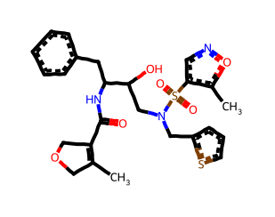 CC1=C(C(=O)NC(Cc2ccccc2)C(O)CN(Cc2cccs2)S(=O)(=O)c2cnoc2C)COC1